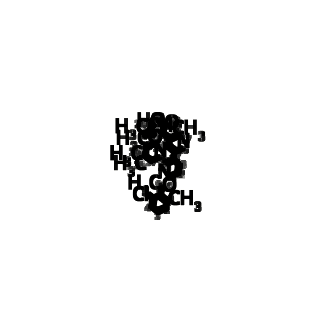 Cc1cccc(Cl)c1C(C)Oc1ccc(-c2cnc(C)c(C(OC(C)(C)C)C(=O)O)c2N2CCC(C)(C)CC2)cn1